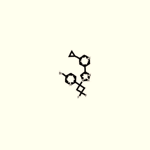 FC1(F)CC(c2ccc(Br)cn2)(n2cc(-c3cncc(C4CC4)c3)nn2)C1